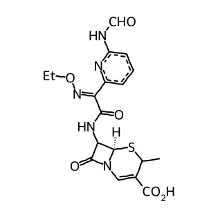 CCON=C(C(=O)NC1C(=O)N2C=C(C(=O)O)C(C)S[C@H]12)c1cccc(NC=O)n1